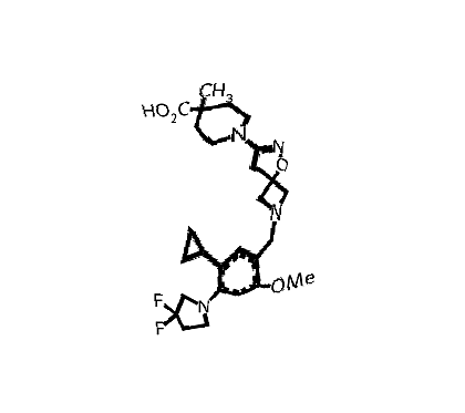 COc1cc(N2CCC(F)(F)C2)c(C2CC2)cc1CN1CC2(CC(N3CCC(C)(C(=O)O)CC3)=NO2)C1